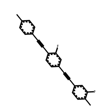 Cc1ccc(C#Cc2ccc(C#Cc3ccc(C)c(F)c3)cc2F)cc1